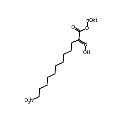 CCCCCCCCOC(=O)C(CCCCCCCCCC[N+](=O)[O-])=NO